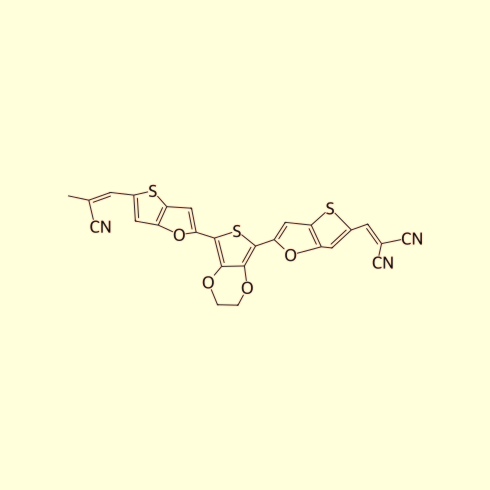 C/C(C#N)=C/c1cc2oc(-c3sc(-c4cc5sc(C=C(C#N)C#N)cc5o4)c4c3OCCO4)cc2s1